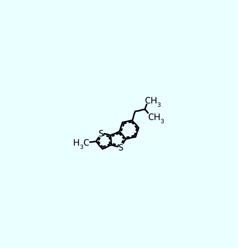 Cc1cc2sc3ccc(CC(C)C)cc3c2s1